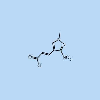 Cn1cc(/C=C/C(=O)Cl)c([N+](=O)[O-])n1